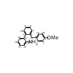 COc1ccc(Cc2ccccc2-c2ccccc2N)cc1